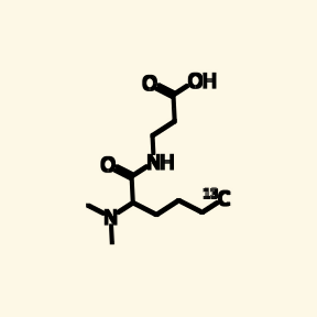 CN(C)C(CCC[13CH3])C(=O)NCCC(=O)O